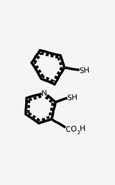 O=C(O)c1cccnc1S.Sc1ccccc1